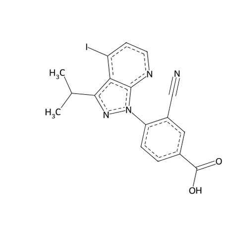 CC(C)c1nn(-c2ccc(C(=O)O)cc2C#N)c2nccc(I)c12